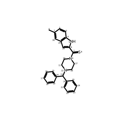 Cc1ccc2[nH]c(C(=S)N3CCN(C(c4ccccc4)c4ccccc4)CC3)cc2c1